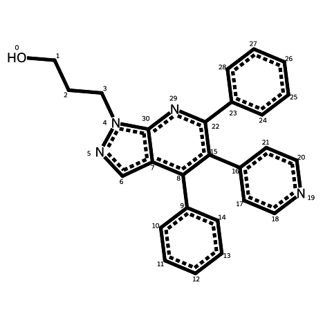 OCCCn1ncc2c(-c3ccccc3)c(-c3ccncc3)c(-c3ccccc3)nc21